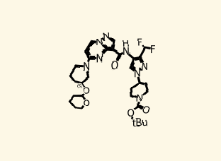 CC(C)(C)OC(=O)N1CCC(n2cc(NC(=O)c3cnn4ccc(N5CCC[C@H](OC6CCCCO6)C5)nc34)c(C(F)F)n2)CC1